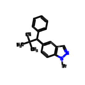 CC(C)n1ncc2cc(C(c3ccccc3)C(C)(C)C#N)ccc21